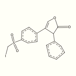 O=C1OC=C(c2ccc(S(=O)(=O)CI)cc2)C1c1ccccc1